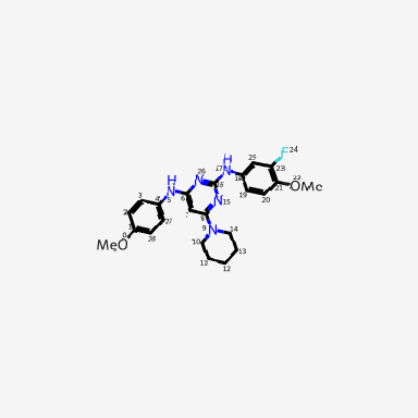 COc1ccc(Nc2cc(N3CCCCC3)nc(Nc3ccc(OC)c(F)c3)n2)cc1